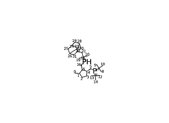 CC1CC[C@H](CP(C(C)(C)C)C(C)(C)C)[C@@H]1CPC(C)(C)CC12CC3CC(CC(C3)C1)C2